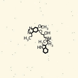 CCc1ncnc2cc(OC)c(OCC(O)CNC(C)(C)Cc3c[nH]c4ccccc34)cc12